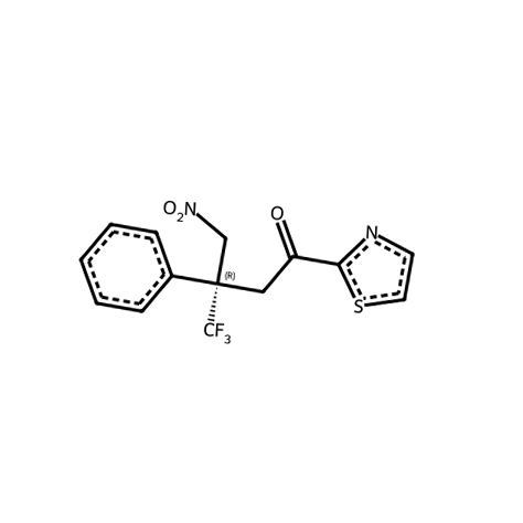 O=C(C[C@](C[N+](=O)[O-])(c1ccccc1)C(F)(F)F)c1nccs1